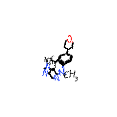 CCc1cc(C2CCOCC2)ccc1N(C)c1cc2c(cn1)ncn2C